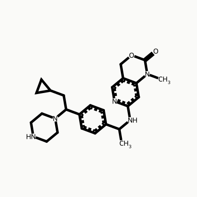 CC(Nc1cc2c(cn1)COC(=O)N2C)c1ccc(C(CC2CC2)N2CCNCC2)cc1